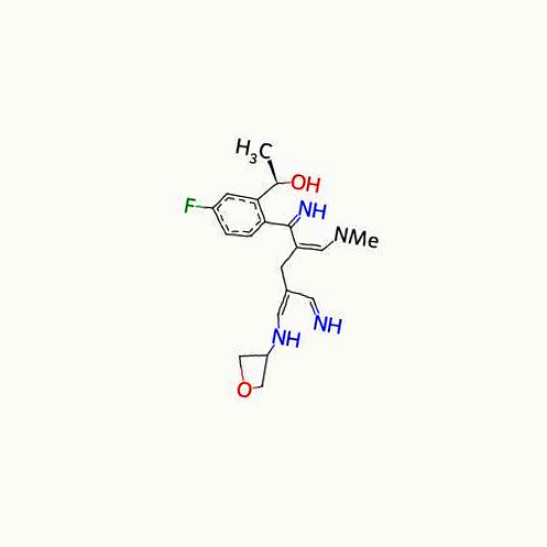 CN/C=C(/C/C(C=N)=C/NC1COC1)C(=N)c1ccc(F)cc1[C@@H](C)O